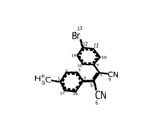 Cc1ccc(/C(C#N)=C(/C#N)c2ccc(Br)cc2)cc1